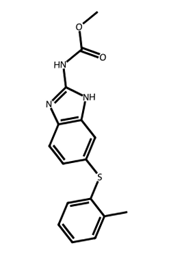 COC(=O)Nc1nc2ccc(Sc3ccccc3C)cc2[nH]1